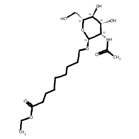 CCOC(=O)CCCCCCCCO[C@H]1O[C@H](CO)[C@@H](O)[C@H](O)[C@@H]1NC(C)=O